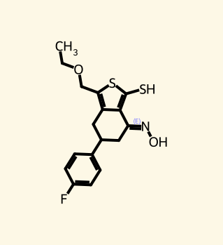 CCOCc1sc(S)c2c1CC(c1ccc(F)cc1)C/C2=N\O